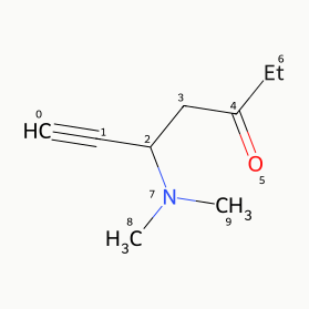 C#CC(CC(=O)CC)N(C)C